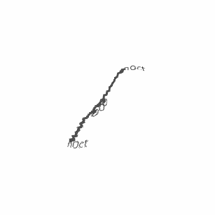 CCCCCCCCC=CCCCCCCCCCCCC(=O)CC(=O)CC(=O)CCCCCCCCCCCC=CCCCCCCCC